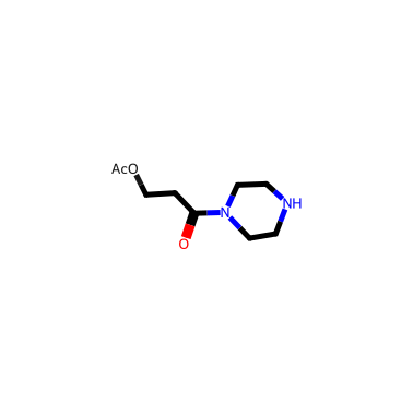 CC(=O)OCCC(=O)N1CCNCC1